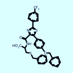 O=C(NC(CSCc1ccccc1)C(=O)O)c1nc(-c2ccc(C(F)(F)F)cc2)sc1-c1ccc(OCc2ccccc2)cc1